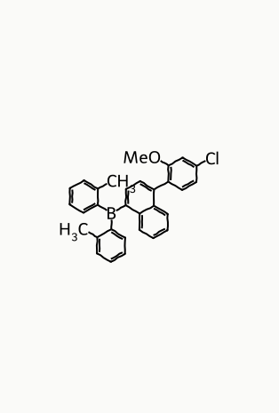 COc1cc(Cl)ccc1-c1ccc(B(c2ccccc2C)c2ccccc2C)c2ccccc12